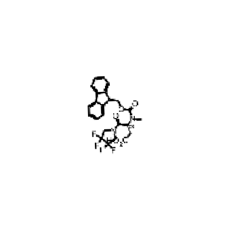 CN(C(=O)OCC1c2ccccc2-c2ccccc21)[C@@H](CC(=O)O)C(=O)N1CC(F)(F)C(F)(F)C1